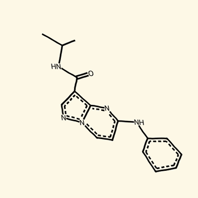 CC(C)NC(=O)c1cnn2ccc(Nc3ccccc3)nc12